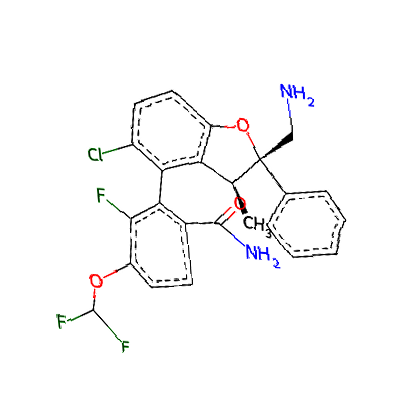 C[C@H]1c2c(ccc(Cl)c2-c2c(C(N)=O)ccc(OC(F)F)c2F)O[C@]1(CN)c1ccccc1